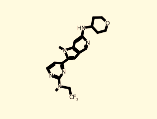 CN(CC(F)(F)F)c1nccc(-c2cc3cnc(NC4CCOCC4)cc3n2C)n1